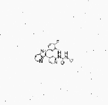 Cc1cc(-c2nc3cccnn3c2-c2ccnc(NC(=O)NC3CC3)c2)ccc1F